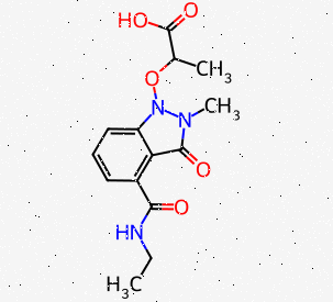 CCNC(=O)c1cccc2c1c(=O)n(C)n2OC(C)C(=O)O